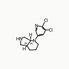 Clc1cc(N2CCC[C@@H]3CNC[C@@H]32)cnc1Cl